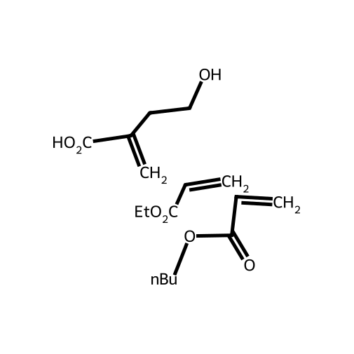 C=C(CCO)C(=O)O.C=CC(=O)OCC.C=CC(=O)OCCCC